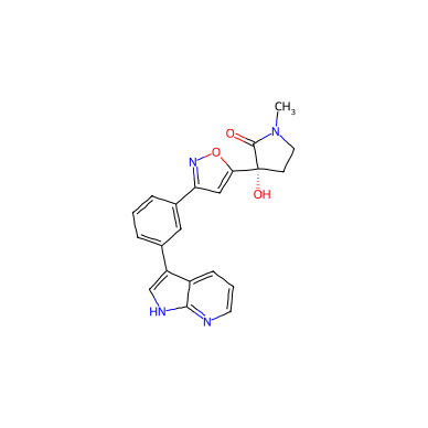 CN1CC[C@@](O)(c2cc(-c3cccc(-c4c[nH]c5ncccc45)c3)no2)C1=O